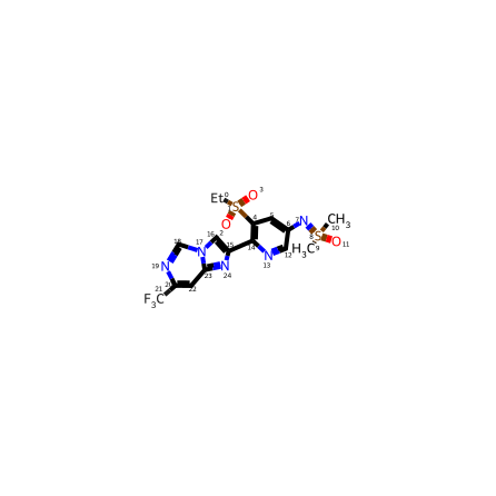 CCS(=O)(=O)c1cc(N=S(C)(C)=O)cnc1-c1cn2cnc(C(F)(F)F)cc2n1